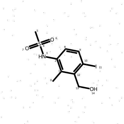 Cc1c(NS(C)(=O)=O)ccc(I)c1CO